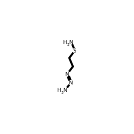 NN=NCCSN